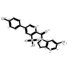 CCS(=O)(=O)c1cc(-c2ccc(Cl)cc2)cnc1C(=O)N1CCc2ncc(C(F)(F)F)cc21